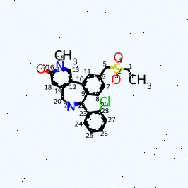 CCS(=O)(=O)Cc1ccc2c(c1)-c1cn(C)c(=O)cc1CN=C2c1ccccc1Cl